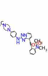 CN1CCN(c2ccc(Nc3nc4c(C#Cc5ccccc5N(C)S(C)(=O)=O)cccn4n3)cc2)CC1